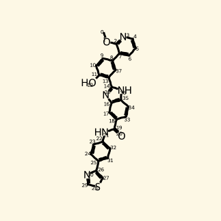 COc1ncccc1-c1ccc(O)c(-c2nc3cc(C(=O)Nc4ccc(-c5cscn5)cc4)ccc3[nH]2)c1